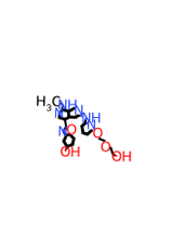 CNc1ncc(-c2nc3cc(O)ccc3o2)c2cc(Nc3cccc(OCCOCCO)n3)ncc12